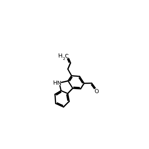 C=CCc1cc(C=O)cc2c1[nH]c1ccccc12